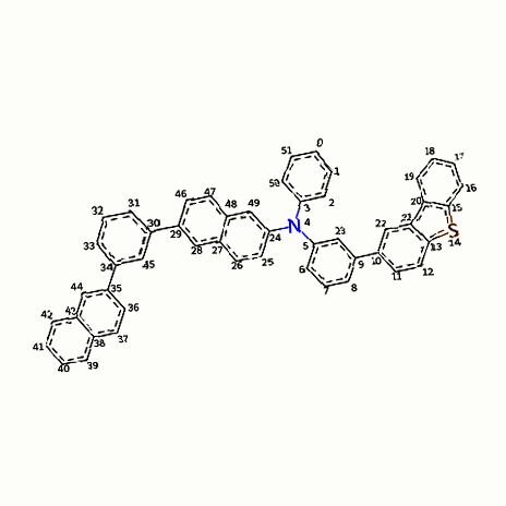 c1ccc(N(c2cccc(-c3ccc4sc5ccccc5c4c3)c2)c2ccc3cc(-c4cccc(-c5ccc6ccccc6c5)c4)ccc3c2)cc1